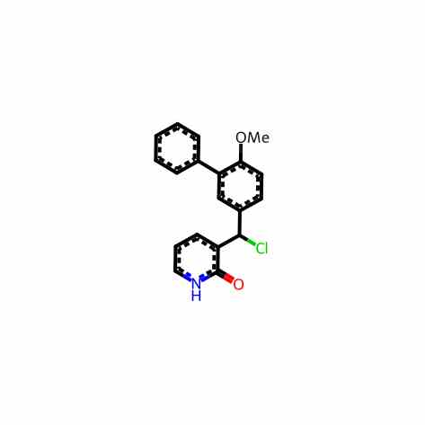 COc1ccc(C(Cl)c2ccc[nH]c2=O)cc1-c1ccccc1